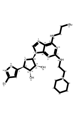 CCc1cc([C@H]2O[C@@H](n3cnc4c(NCCC(C)(C)C)nc(NCCN5CCCCC5)nc43)[C@H](O)[C@@H]2O)on1